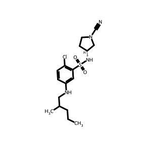 CCCC(C)CNc1ccc(Cl)c(S(=O)(=O)N[C@@H]2CCN(C#N)C2)c1